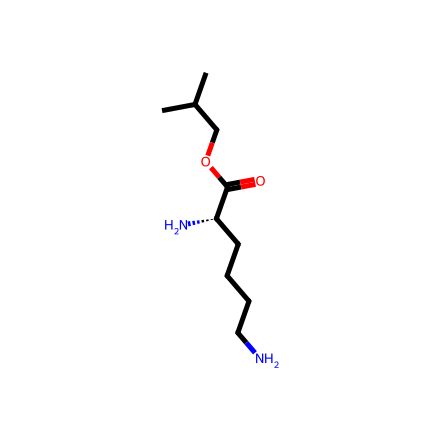 CC(C)COC(=O)[C@@H](N)CCCCN